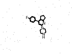 Fc1ccc(-c2cc(N3CCNCC3)nc3c2CCC3)cc1